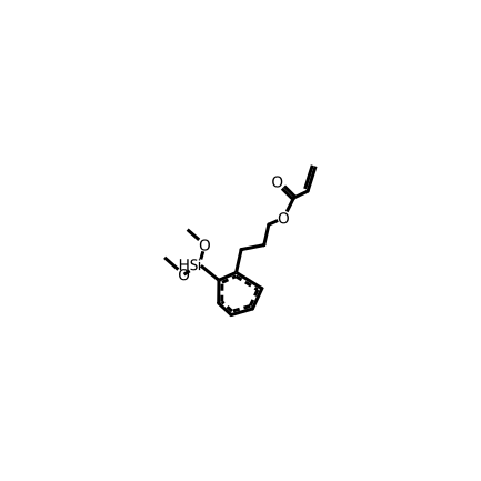 C=CC(=O)OCCCc1ccccc1[SiH](OC)OC